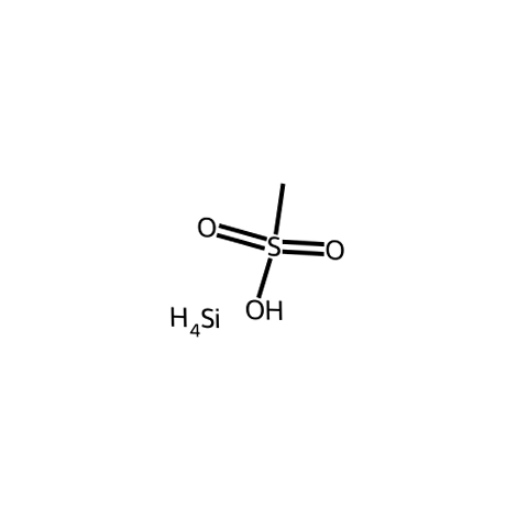 CS(=O)(=O)O.[SiH4]